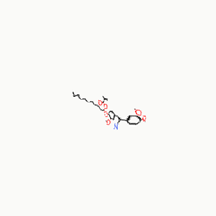 C=C(C)C(=O)OC(CCCCCCCCCC)Oc1ccc(/C=C(\C#N)c2ccc(OC)c(OC)c2)cc1OC